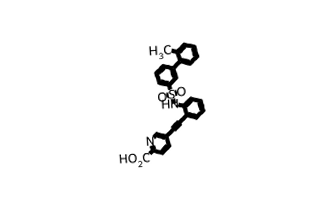 Cc1ccccc1-c1cccc(S(=O)(=O)Nc2ccccc2C#Cc2ccc(C(=O)O)nc2)c1